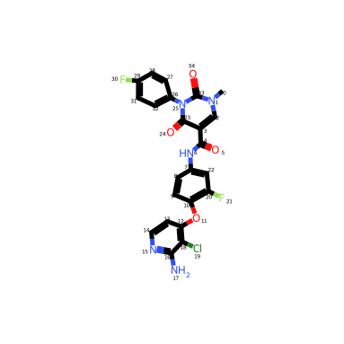 Cn1cc(C(=O)Nc2ccc(Oc3ccnc(N)c3Cl)c(F)c2)c(=O)n(-c2ccc(F)cc2)c1=O